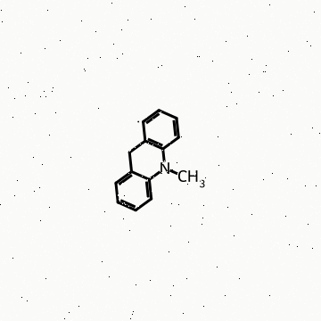 CN1c2ccc[c]c2Cc2ccccc21